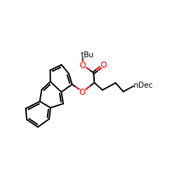 CCCCCCCCCCCCCC(Oc1cccc2cc3ccccc3cc12)C(=O)OC(C)(C)C